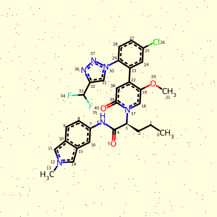 CCC[C@@H](C(=O)Nc1ccc2cn(C)cc2c1)n1cc(OC)c(-c2cc(Cl)ccc2-n2cc(C(F)F)nn2)cc1=O